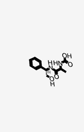 CC(NC(=O)O)C(=O)N[C@H](CO)c1ccccc1